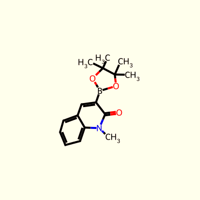 Cn1c(=O)c(B2OC(C)(C)C(C)(C)O2)cc2ccccc21